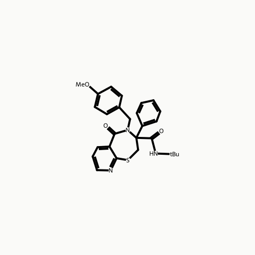 COc1ccc(CN2C(=O)c3cccnc3SCC2(C(=O)NC(C)(C)C)c2ccccc2)cc1